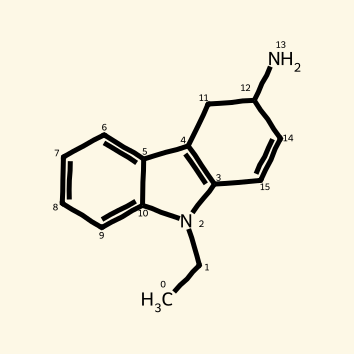 CCn1c2c(c3ccccc31)CC(N)C=C2